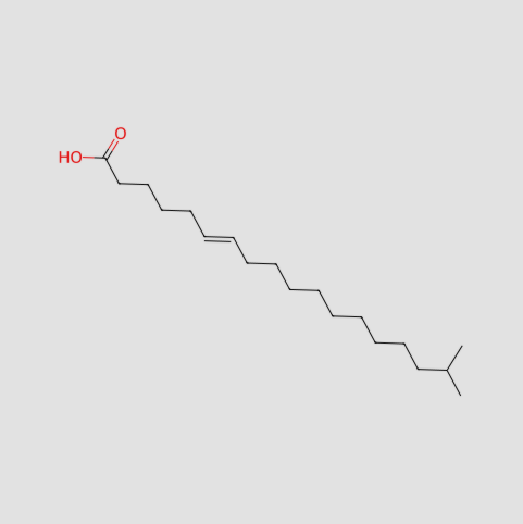 CC(C)CCCCCCCCCC=CCCCCC(=O)O